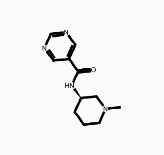 CN1CCC[C@@H](NC(=O)c2cncnc2)C1